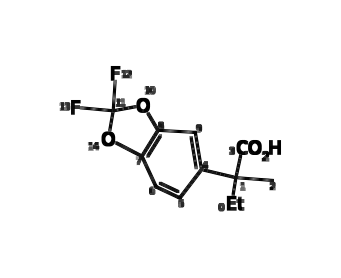 CCC(C)(C(=O)O)c1ccc2c(c1)OC(F)(F)O2